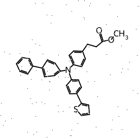 COC(=O)CCc1ccc(N(c2ccc(-c3ccccc3)cc2)c2ccc(-c3cccs3)cc2)cc1